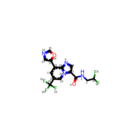 O=C(NCC(F)F)c1cnc2c(-c3cnco3)cc(C(F)(F)F)cn12